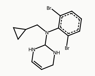 Brc1cccc(Br)c1N(CC1CC1)C1NC=CCN1